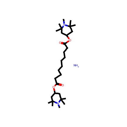 CN1C(C)(C)CC(OC(=O)CCCCCCCCC(=O)OC2CC(C)(C)N(C)C(C)(C)C2)CC1(C)C.N